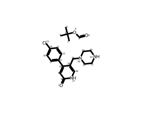 CC(C)(C)OC=O.O=c1cc(-c2ccc(Cl)cc2)c(CN2CCNCC2)c[nH]1